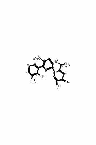 COc1ccc(-n2cc(O)c(=O)cc2C(C)O)cc1-c1cccc(C)c1C